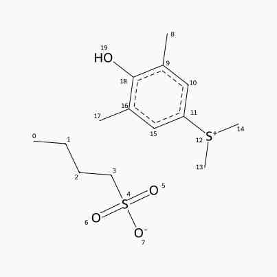 CCCCS(=O)(=O)[O-].Cc1cc([S+](C)C)cc(C)c1O